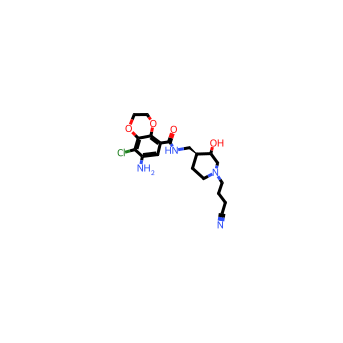 N#CCCCN1CC[C@@H](CNC(=O)c2cc(N)c(Cl)c3c2OCCO3)C(O)C1